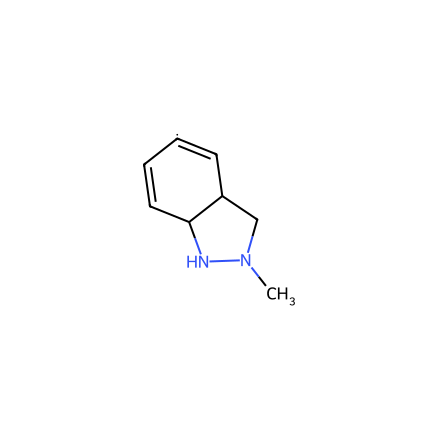 CN1CC2C=[C]C=CC2N1